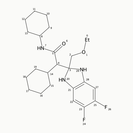 CCOCC1(C(C(=O)NC2CCCCC2)C2CCCCC2)Nc2cc(F)c(F)cc2N1